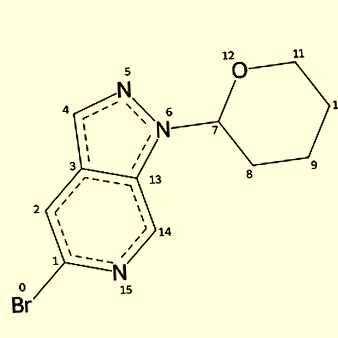 Brc1cc2cnn(C3CCCCO3)c2cn1